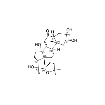 CC1(C)CC[C@H]([C@](C)(O)[C@H]2CC[C@@]3(O)C4=CC(=O)[C@@H]5C[C@@H](O)[C@@H](O)C[C@]5(C)[C@H]4CC[C@]23C)O1